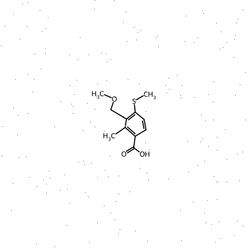 COCc1c(SC)ccc(C(=O)O)c1C